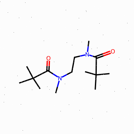 CN(CCN(C)C(=O)C(C)(C)C)C(=O)C(C)(C)C